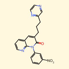 O=c1c(CCCc2cnccn2)cc2cccnc2n1-c1cccc([N+](=O)[O-])c1